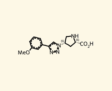 COc1cccc(-c2cn([C@@H]3CN[C@H](C(=O)O)C3)nn2)c1